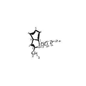 CC1=CC2C=CC=C2S1.[Cl-].[Cl-].[Zr+2]